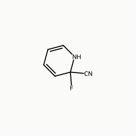 N#CC1(F)C=CC=CN1